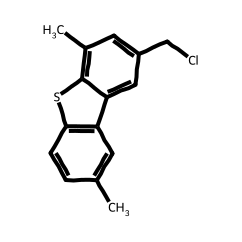 Cc1ccc2sc3c(C)cc(CCl)cc3c2c1